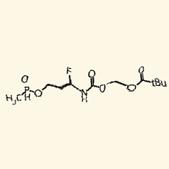 C[PH](=O)OCCC(F)NC(=O)OCOC(=O)C(C)(C)C